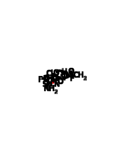 C=C(F)C(=O)N1CCN2C(=O)c3cc(F)c(-c4ccc(F)c5sc(N)c(C#N)c45)c(Cl)c3OCC[C@H]2C1